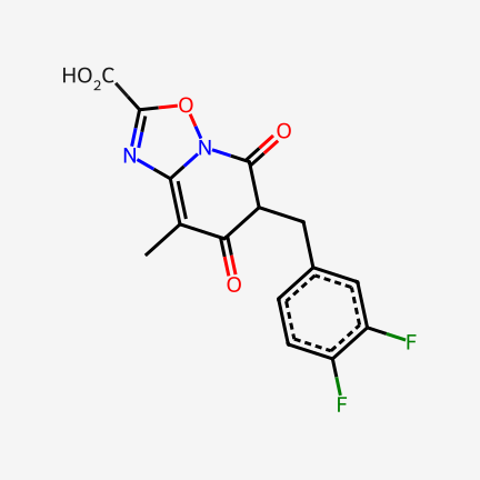 CC1=C2N=C(C(=O)O)ON2C(=O)C(Cc2ccc(F)c(F)c2)C1=O